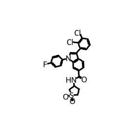 O=C(NC1CCS(=O)(=O)C1)c1ccc2c(-c3cccc(Cl)c3Cl)cn(-c3ccc(F)cc3)c2c1